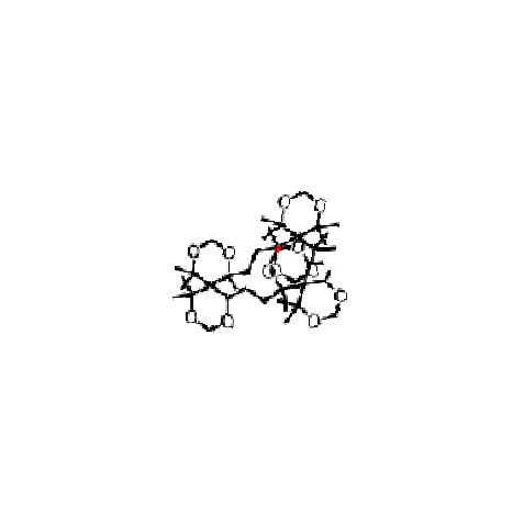 CC1OCOC(C)(C)C12C(C)OCOC2(C)CCC1OCOC(C)(C)C12C(C)(C)OCOC2(C)CCC1(C)OCOC(C)(C)C12C(C)(C)OCOC2(C)C